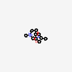 c1ccc(-c2ccc3c(c2)c2ccccc2n3-c2c(-c3ccc4c(c3)oc3cccc(-c5cccc(-c6nc(-c7ccccc7)nc(-c7ccccc7)n6)c5)c34)ccc3oc4ccccc4c23)cc1